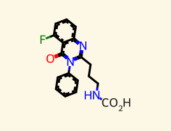 O=C(O)NCCCc1nc2cccc(F)c2c(=O)n1-c1ccccc1